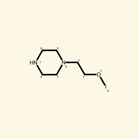 IOCCN1CCNCC1